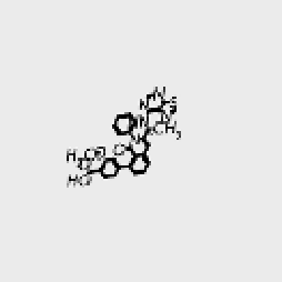 COc1cc(-c2cccc3cc([C@H](C)Nc4ncnc5scnc45)n(-c4ccccc4)c(=O)c23)ccc1C(=O)O